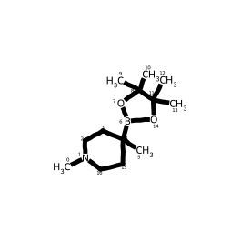 CN1CCC(C)(B2OC(C)(C)C(C)(C)O2)CC1